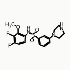 COc1c(NS(=O)(=O)c2cccc(N3CCNCC3)c2)ccc(F)c1F